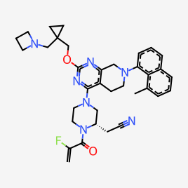 C=C(F)C(=O)N1CCN(c2nc(OCC3(CN4CCC4)CC3)nc3c2CCN(c2cccc4cccc(C)c24)C3)C[C@@H]1CC#N